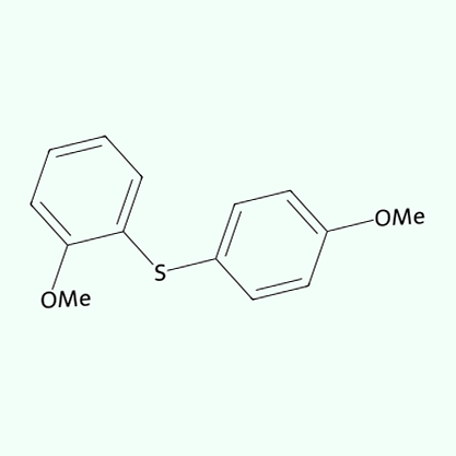 COc1ccc(Sc2ccccc2OC)cc1